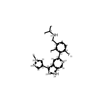 Cc1c(CNC(C)C)ccc(F)c1-c1cc2c(-c3cnn(C)c3)n[nH]c2cn1